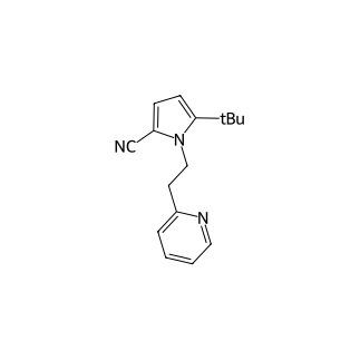 CC(C)(C)c1ccc(C#N)n1CCc1ccccn1